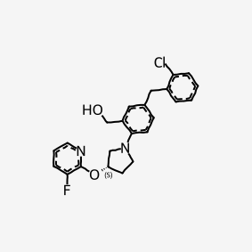 OCc1cc(Cc2ccccc2Cl)ccc1N1CC[C@H](Oc2ncccc2F)C1